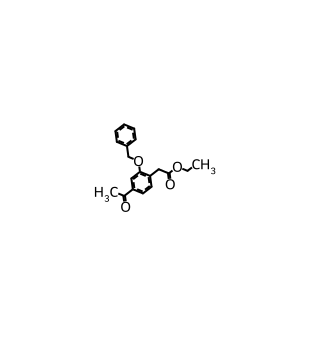 CCOC(=O)Cc1ccc(C(C)=O)cc1OCc1ccccc1